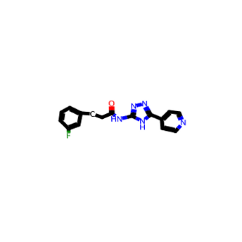 O=C(CCc1cccc(F)c1)Nc1nnc(-c2ccncc2)[nH]1